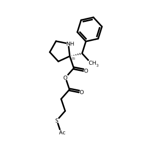 CC(=O)SCCC(=O)OC(=O)[C@@]1(C(C)c2ccccc2)CCCN1